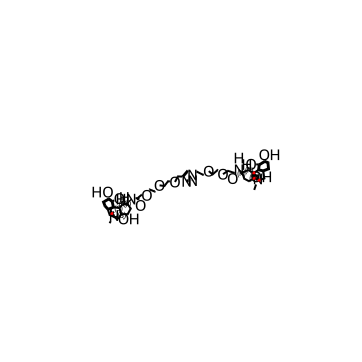 CN1CC[C@]23c4c5ccc(O)c4O[C@H]2[C@@H](NC(=O)COCCOCCOCc2cn(CCOCCOCC(=O)N[C@@H]4CC[C@@]6(O)C7Cc8ccc(O)c9c8[C@@]6(CCN7C)[C@H]4O9)nn2)CC[C@@]3(O)C1C5